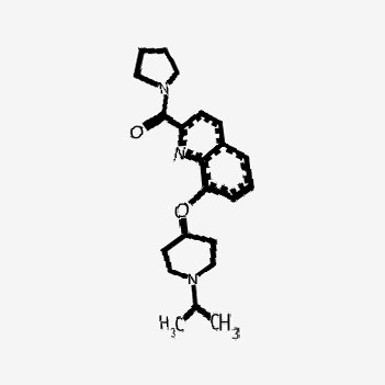 CC(C)N1CCC(Oc2cccc3ccc(C(=O)N4CCCC4)nc23)CC1